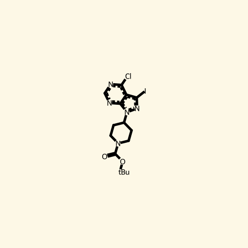 CC(C)(C)OC(=O)N1CCC(n2nc(I)c3c(Cl)ncnc32)CC1